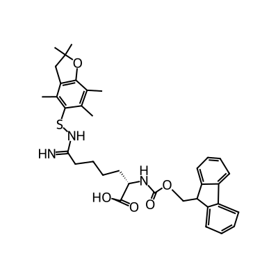 Cc1c(C)c(SNC(=N)CCCC[C@H](NC(=O)OCC2c3ccccc3-c3ccccc32)C(=O)O)c(C)c2c1OC(C)(C)C2